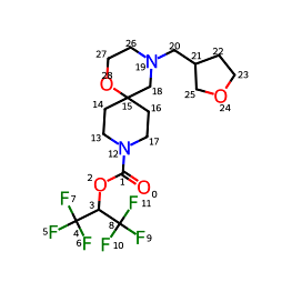 O=C(OC(C(F)(F)F)C(F)(F)F)N1CCC2(CC1)CN(CC1CCOC1)CCO2